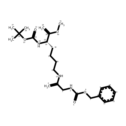 C=C(CNC(=O)OCc1ccccc1)NCCCC[C@H](NC(=O)OC(C)(C)C)C(=C)OC